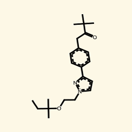 CCC(C)(C)OCCn1ccc(-c2ccc(CC(=O)C(C)(C)C)cc2)n1